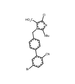 CCCCc1nc(Cl)c(C(=O)O)n1Cc1ccc(-c2cc(Br)ccc2C#N)cc1